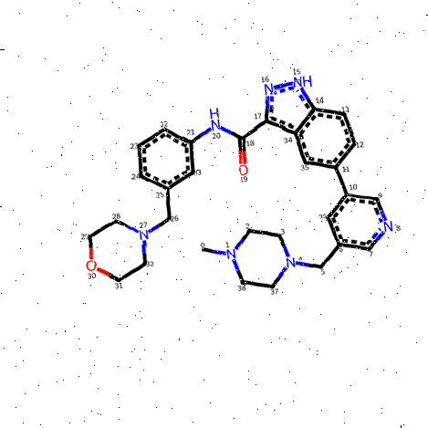 CN1CCN(Cc2cncc(-c3ccc4[nH]nc(C(=O)Nc5cccc(CN6CCOCC6)c5)c4c3)c2)CC1